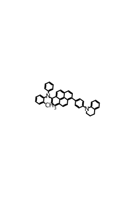 Cc1ccccc1N(c1ccccc1)c1ccc2ccc3c(-c4ccc(N5CCCc6ccccc65)cc4)ccc4ccc1c2c43